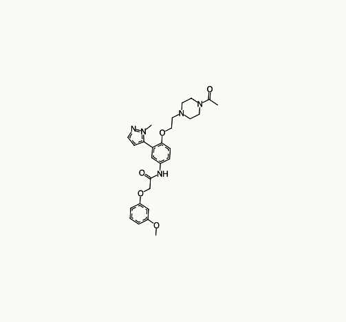 COc1cccc(OCC(=O)Nc2ccc(OCCN3CCN(C(C)=O)CC3)c(-c3ccnn3C)c2)c1